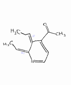 C/C=c1/c(C(C)=O)ccn/c1=C/C